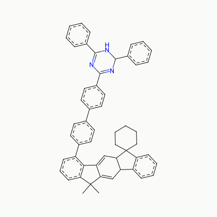 CC1(C)C2=CC3c4ccccc4C4(CCCCC4)C3C=C2c2c(-c3ccc(-c4ccc(C5=NC(c6ccccc6)NC(c6ccccc6)=N5)cc4)cc3)cccc21